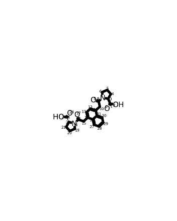 O=C(O)C1CCCN1C(=O)Cc1ccc(CC(=O)N2CCC[C@@H]2C(=O)O)c2ccccc12